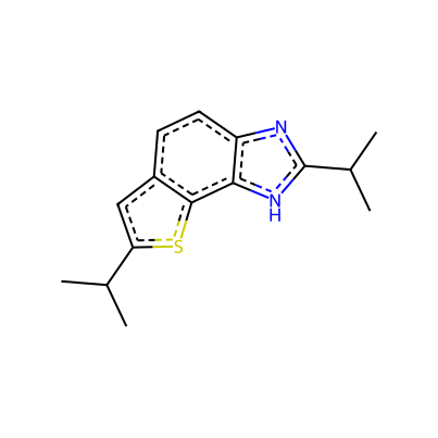 CC(C)c1nc2ccc3cc(C(C)C)sc3c2[nH]1